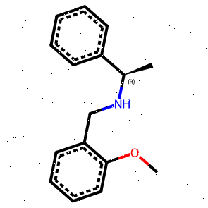 COc1ccccc1CN[C@H](C)c1ccccc1